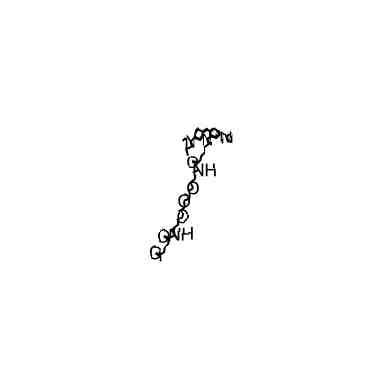 CCCN(CC)c1ccc2cc3ccc(N(C)C)cc3[n+](CCCCCC(=O)NCCCOCCOCCOCCCNC(=O)CCCC(C)=O)c2c1